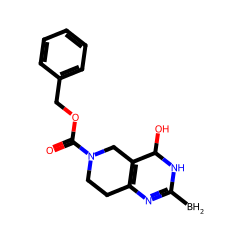 BC1=NC2=C(CN(C(=O)OCc3ccccc3)CC2)C(O)N1